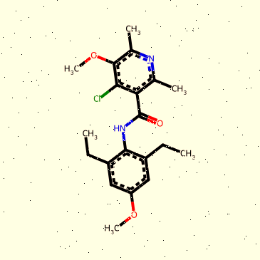 CCc1cc(OC)cc(CC)c1NC(=O)c1c(C)nc(C)c(OC)c1Cl